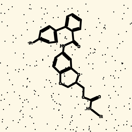 CCNC(=O)OCC1COc2ccc(NC(=O)c3ccccc3-c3ccc(C(C)C)cc3)cc2O1